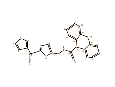 O=C(c1ccsc1)c1ccc(CNC(=O)C2c3ccccc3Oc3ccccc32)s1